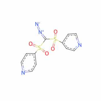 [N-]=[N+]=C(S(=O)(=O)c1ccncc1)S(=O)(=O)c1ccncc1